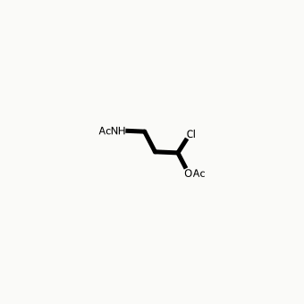 CC(=O)NCCC(Cl)OC(C)=O